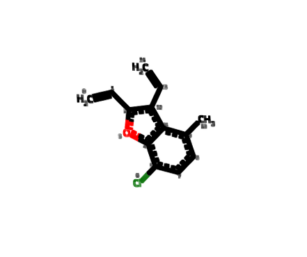 C=Cc1oc2c(Cl)ccc(C)c2c1C=C